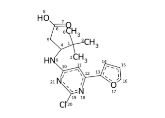 CC(C)(C)C(CC(=O)O)Nc1cc(-c2ccco2)nc(Cl)n1